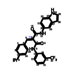 CC(C)c1ccc(/C=C(\C(=O)Nc2cccc(C(F)(F)F)c2)C(=O)Nc2ccc3[nH]ccc3c2)cc1